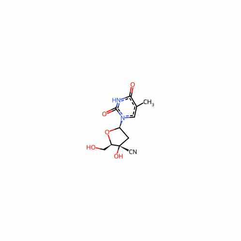 Cc1cn([C@H]2C[C@@](O)(C#N)[C@@H](CO)O2)c(=O)[nH]c1=O